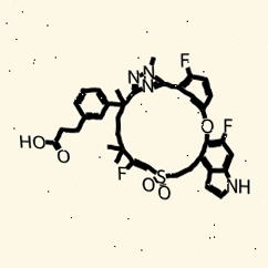 Cn1nc2nc1-c1cc(ccc1F)Oc1c(F)cc3[nH]ccc3c1CCS(=O)(=O)/C=C(\F)C(C)(C)CCC2(C)c1cccc(CCC(=O)O)c1